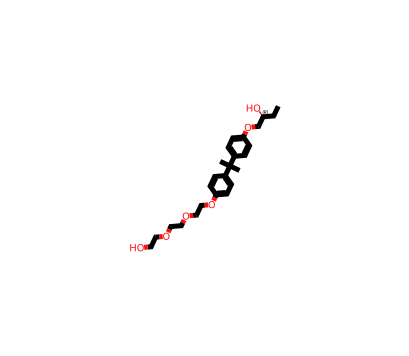 CC[C@@H](O)COc1ccc(C(C)(C)c2ccc(OCCOCCOCCO)cc2)cc1